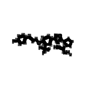 N=C(N)N1CCC[C@H]1c1nc(-c2ccc(OC/C=C/c3ccc(F)cc3)c(C(F)(F)F)c2)no1